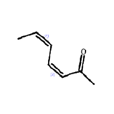 C/C=C\C=C/C(C)=O